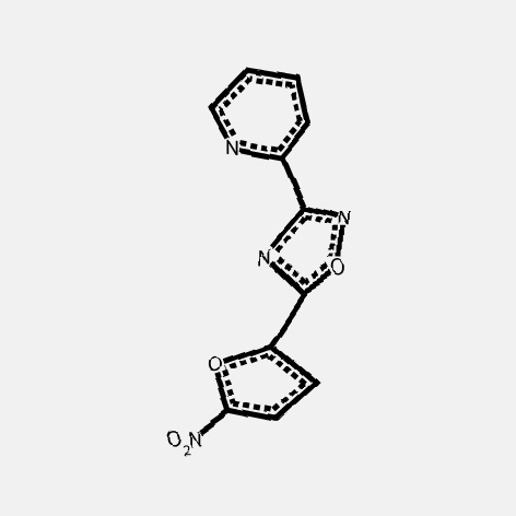 O=[N+]([O-])c1ccc(-c2nc(-c3ccccn3)no2)o1